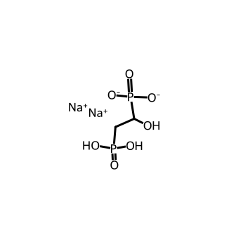 O=P(O)(O)CC(O)P(=O)([O-])[O-].[Na+].[Na+]